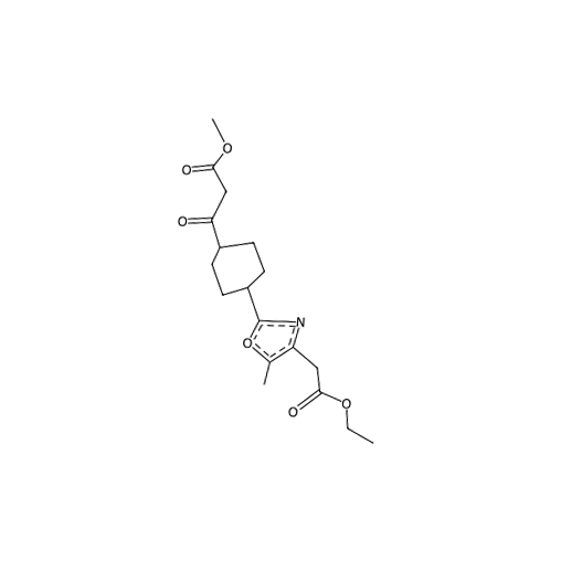 CCOC(=O)Cc1nc(C2CCC(C(=O)CC(=O)OC)CC2)oc1C